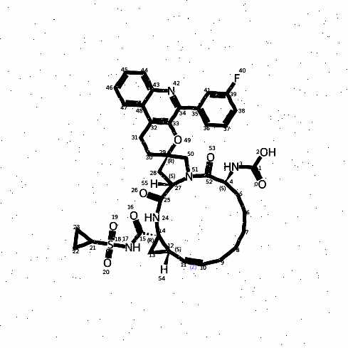 O=C(O)N[C@H]1CCCCC/C=C\[C@@H]2C[C@@]2(C(=O)NS(=O)(=O)C2CC2)NC(=O)[C@@H]2C[C@]3(CCc4c(c(-c5cccc(F)c5)nc5ccccc45)O3)CN2C1=O